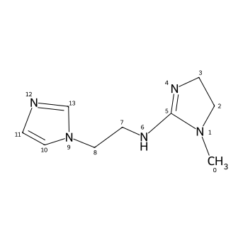 CN1CCN=C1NCCn1ccnc1